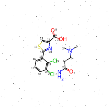 CN(C)CCC(N)=O.O=C(O)c1csc(-c2cccc(Cl)c2Cl)n1